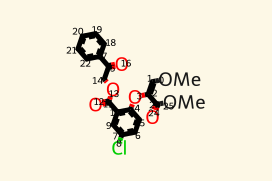 CO/C=C(/Oc1ccc(Cl)cc1C(=O)OCC(=O)c1ccccc1)C(=O)OC